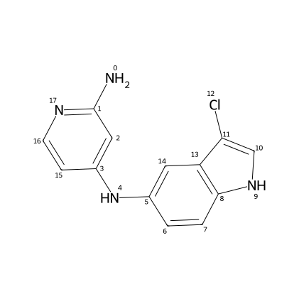 Nc1cc(Nc2ccc3[nH]cc(Cl)c3c2)ccn1